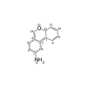 Nc1ccc2c(c1)=C1C=CC=CC1OC=2